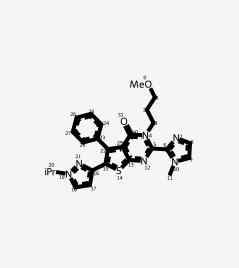 COCCCn1c(-c2nccn2C)nc2sc(-c3ccn(C(C)C)n3)c(-c3ccccc3)c2c1=O